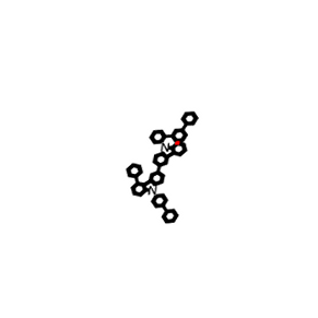 c1ccc(-c2ccc(-n3c4ccc(-c5ccc6c(c5)c5ccccc5n6-c5ccccc5-c5cccc(-c6ccccc6)c5)cc4c4c(-c5ccccc5)cccc43)cc2)cc1